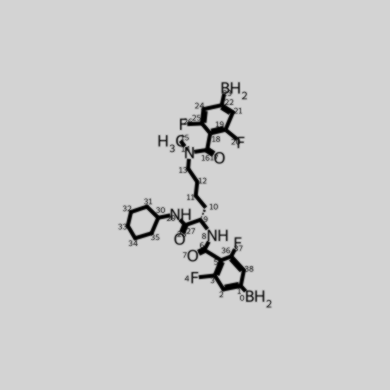 Bc1cc(F)c(C(=O)N[C@@H](CCCCN(C)C(=O)c2c(F)cc(B)cc2F)C(=O)NC2CCCCC2)c(F)c1